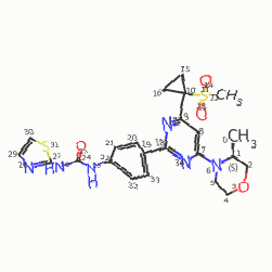 C[C@H]1COCCN1c1cc(C2(S(C)(=O)=O)CC2)nc(-c2ccc(NC(=O)Nc3nccs3)cc2)n1